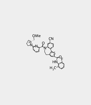 COC[C@H]1CCCN1c1cccc(C(=O)N2CCc3cc(C(=O)Nc4c(C)cccc4F)sc3-c3ccc(C#N)cc32)n1